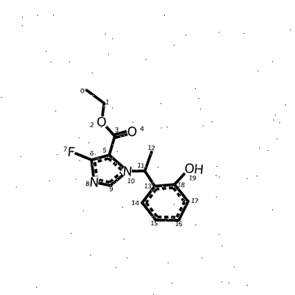 CCOC(=O)c1c(F)ncn1C(C)c1ccccc1O